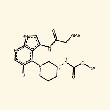 COCC(=O)Nc1c[nH]c2ncc(Cl)c(N3CCC[C@@H](NC(=O)OC(C)(C)C)C3)c12